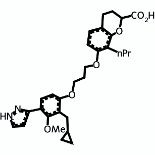 CCCc1c(OCCCOc2ccc(-c3cc[nH]n3)c(OC)c2CC2CC2)ccc2c1OC(C(=O)O)CC2